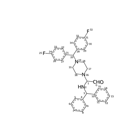 O=CC(NC(c1ccccc1)c1ccccc1)N1CCN(C(c2ccc(F)cc2)c2ccc(F)cc2)CC1